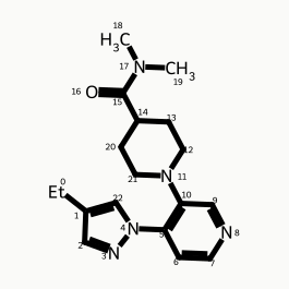 CCc1cnn(-c2ccncc2N2CCC(C(=O)N(C)C)CC2)c1